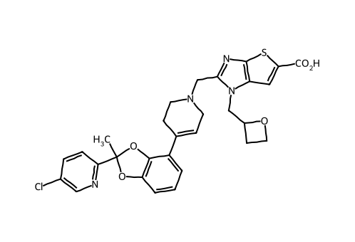 CC1(c2ccc(Cl)cn2)Oc2cccc(C3=CCN(Cc4nc5sc(C(=O)O)cc5n4CC4CCO4)CC3)c2O1